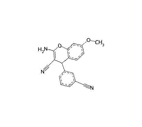 COc1ccc2c(c1)OC(N)=C(C#N)C2c1cccc(C#N)c1